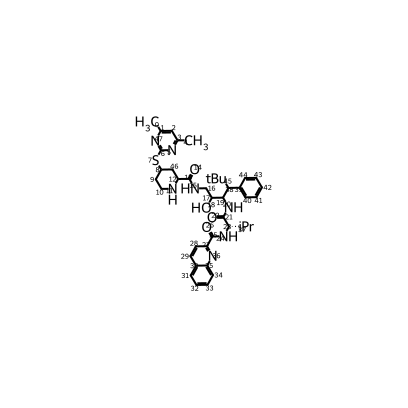 Cc1cc(C)nc(SC2CCNC(C(=O)NCC(O)C(NC(=O)[C@@H](NC(=O)c3ccc4ccccc4n3)C(C)C)C(c3ccccc3)C(C)(C)C)C2)n1